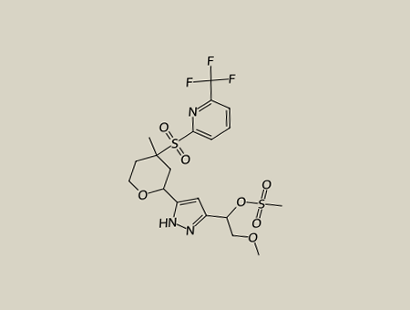 COCC(OS(C)(=O)=O)c1cc(C2CC(C)(S(=O)(=O)c3cccc(C(F)(F)F)n3)CCO2)[nH]n1